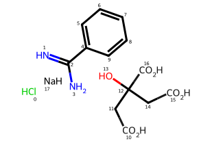 Cl.N=C(N)c1ccccc1.O=C(O)CC(O)(CC(=O)O)C(=O)O.[NaH]